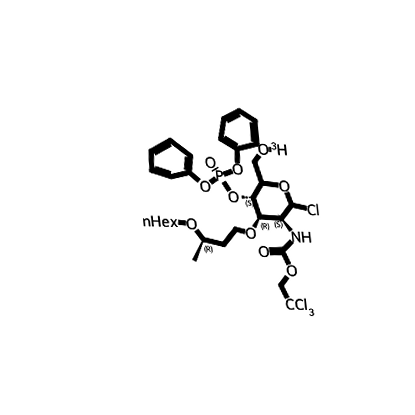 [3H]OCC1OC(Cl)[C@@H](NC(=O)OCC(Cl)(Cl)Cl)[C@@H](OCC[C@@H](C)OCCCCCC)[C@@H]1OP(=O)(Oc1ccccc1)Oc1ccccc1